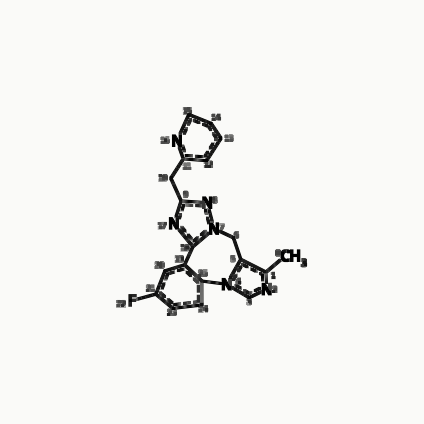 Cc1ncn2c1Cn1nc(Cc3ccccn3)nc1-c1cc(F)ccc1-2